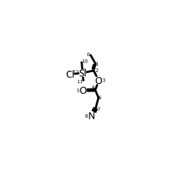 C/C=C(/OC(=O)CC#N)[Si](C)(C)Cl